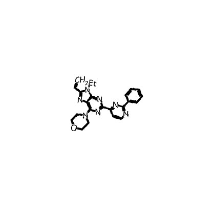 C=Cc1nc2c(N3CCOCC3)nc(-c3ccnc(-c4ccccc4)n3)nc2n1CC